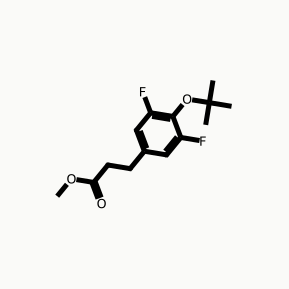 COC(=O)CCc1cc(F)c(OC(C)(C)C)c(F)c1